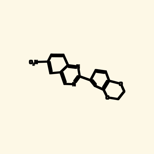 O=[N+]([O-])c1ccc2nc(-c3ccc4c(c3)OCCO4)ncc2c1